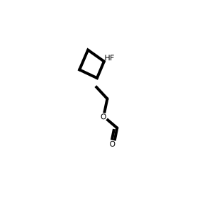 C1CCC1.CCOC=O.F